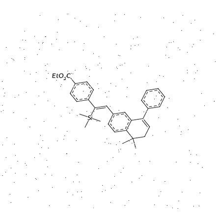 CCOC(=O)c1ccc(/C(=C/c2ccc3c(c2)C(c2ccccc2)=CCC3(C)C)[Si](C)(C)C)cc1